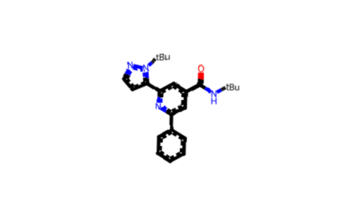 CC(C)(C)NC(=O)c1cc(-c2ccccc2)nc(-c2ccnn2C(C)(C)C)c1